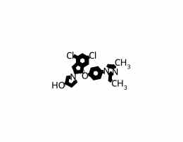 CCc1nc(C)cn1-c1ccc(O[C@H]2c3cc(Cl)cc(Cl)c3C[C@@H]2N2CC[C@@H](O)C2)cc1